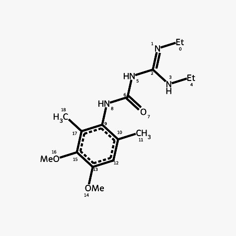 CCN=C(NCC)NC(=O)Nc1c(C)cc(OC)c(OC)c1C